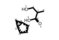 CC(CO)C(=O)O.c1cc2cc-2c1